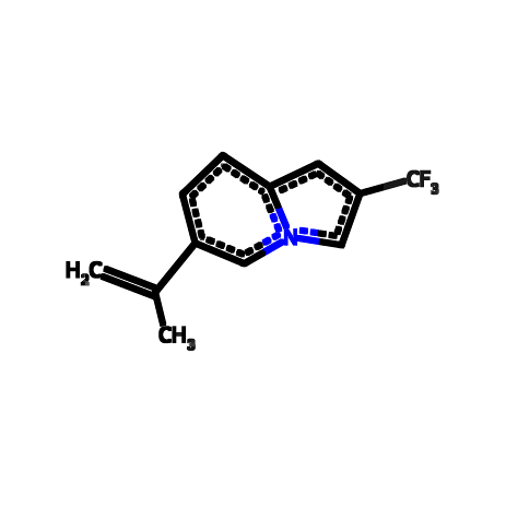 C=C(C)c1ccc2cc(C(F)(F)F)cn2c1